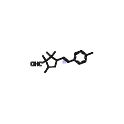 Cc1ccc(/C=C/C2CC(C)C(C)(C=O)C2(C)C)cc1